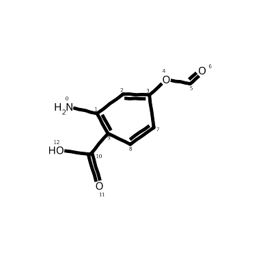 Nc1cc(OC=O)ccc1C(=O)O